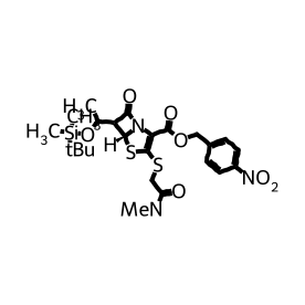 CNC(=O)CSC1=C(C(=O)OCc2ccc([N+](=O)[O-])cc2)N2C(=O)C(C(C)O[Si](C)(C)C(C)(C)C)[C@H]2S1